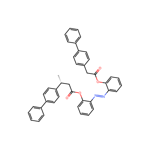 C[C@H](CC(=O)Oc1ccccc1N=Nc1ccccc1OC(=O)Cc1ccc(-c2ccccc2)cc1)c1ccc(-c2ccccc2)cc1